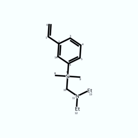 C=Cc1cccc([Si](C)(C)CN(CC)CC)c1